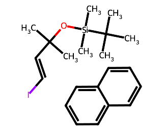 CC(C)(C=CI)O[Si](C)(C)C(C)(C)C.c1ccc2ccccc2c1